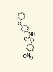 O=C(Nc1ccc(Oc2ccccc2)cc1)Oc1ccc([N+](=O)[O-])cc1